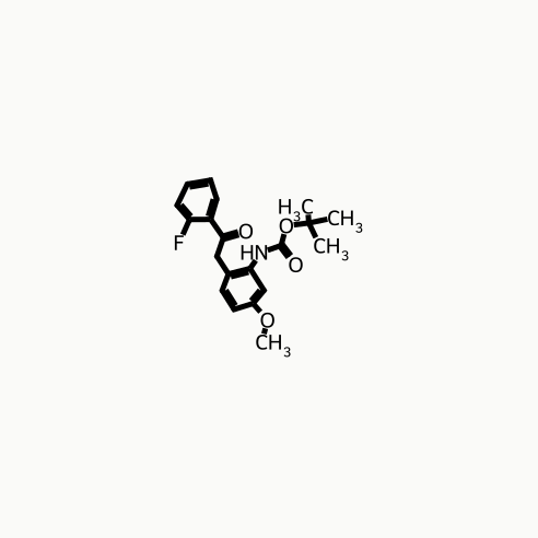 COc1ccc(CC(=O)c2ccccc2F)c(NC(=O)OC(C)(C)C)c1